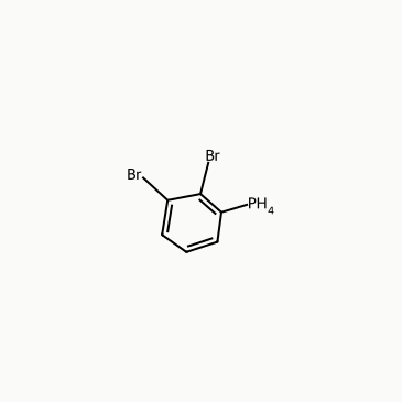 [PH4]c1cccc(Br)c1Br